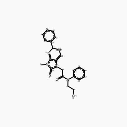 Cn1c2c(n(CC(=O)N(CCO)c3ccccc3)c1=O)=CNC(c1ccccc1)N=2